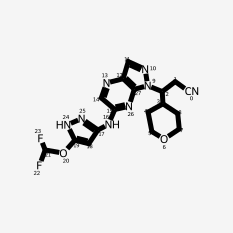 N#CCC(C1CCOCC1)n1ncc2ncc(Nc3cc(OC(F)F)[nH]n3)nc21